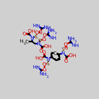 CC(CN(SOOC(=N)N)C(=O)O)N(SOOC(=N)N)C(=O)O.N=C(N)OOSN(C(=O)O)c1ccc(N(SOOC(=N)N)C(=O)O)cc1